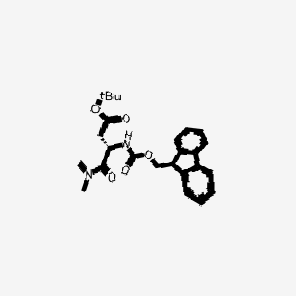 CN(C)C(=O)[C@H](CC(=O)OC(C)(C)C)NC(=O)OCC1c2ccccc2-c2ccccc21